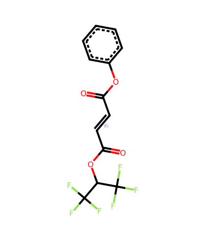 O=C(/C=C/C(=O)OC(C(F)(F)F)C(F)(F)F)Oc1ccccc1